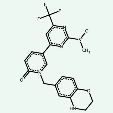 C[S+]([O-])c1nc(-c2ccc(=O)n(Cc3ccc4c(c3)NCCO4)c2)cc(C(F)(F)F)n1